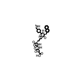 CNCC1CCC(C(=O)N[C@@H](Cc2ccc3ccccc3c2)C(=O)NCCCC[C@H](NC(=O)N[C@@H](CCC(=O)O)C(=O)O)C(=O)O)CC1